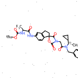 C[C@@H](C1CC1)N(Cc1ccccc1)C(=O)CN1C(=O)OC2(CCc3cc(NC(=O)C(NC(=O)OC(C)(C)C)C(F)(F)F)ccc32)C1=O